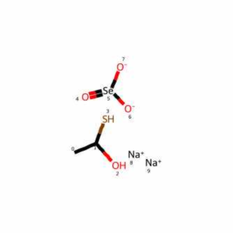 CC(O)S.O=[Se]([O-])[O-].[Na+].[Na+]